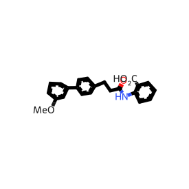 COc1cccc(-c2ccc(CCC(=O)Nc3ccccc3C(=O)O)cc2)c1